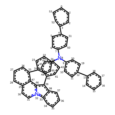 c1ccc(-c2ccc(N(c3ccc(-c4ccccc4)cc3)c3ccc(-c4cccc5ccn6c7ccccc7c(-c7ccccc7)c6c45)cc3)cc2)cc1